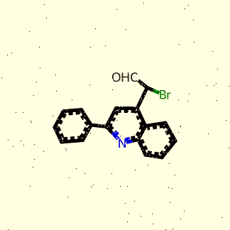 O=CC(Br)c1cc(-c2ccccc2)nc2ccccc12